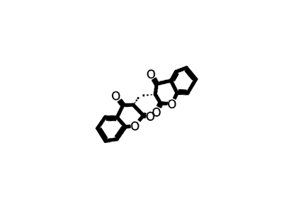 O=C1Oc2ccccc2C(=O)[C@@H]1C[C@H]1C(=O)Oc2ccccc2C1=O